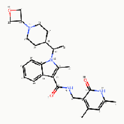 Cc1cc(C)c(CNC(=O)c2c(C)n(C(C)C3CCN(C4COC4)CC3)c3ccccc23)c(=O)[nH]1